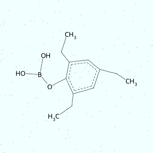 CCc1cc(CC)c(OB(O)O)c(CC)c1